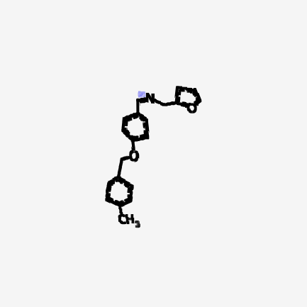 Cc1ccc(COc2ccc(/C=N\Cc3ccco3)cc2)cc1